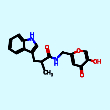 CC(Cc1c[nH]c2ccccc12)C(=O)NCc1cc(=O)c(O)co1